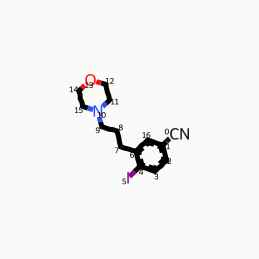 N#Cc1ccc(I)c(CCCN2CCOCC2)c1